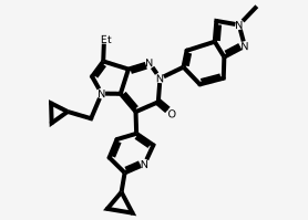 CCc1cn(CC2CC2)c2c(-c3ccc(C4CC4)nc3)c(=O)n(-c3ccc4nn(C)cc4c3)nc12